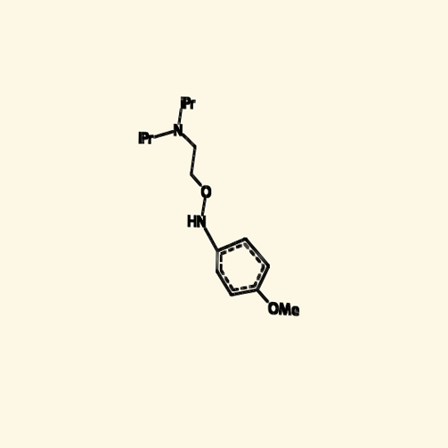 COc1ccc(NOCCN(C(C)C)C(C)C)cc1